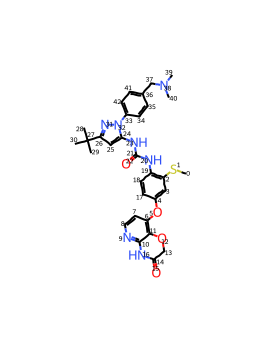 CSc1cc(Oc2ccnc3c2OCC(=O)N3)ccc1NC(=O)Nc1cc(C(C)(C)C)nn1-c1ccc(CN(C)C)cc1